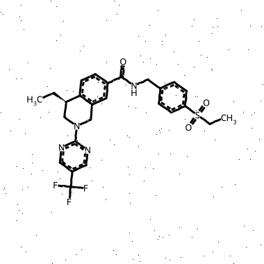 CC[C@@H]1CN(c2ncc(C(F)(F)F)cn2)Cc2cc(C(=O)NCc3ccc(S(=O)(=O)CC)cc3)ccc21